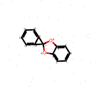 c1ccc2c(c1)OC1(O2)c2ccccc21